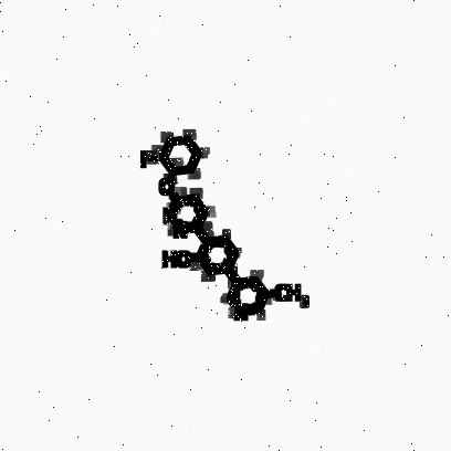 Cc1cncc(-c2ccc(-c3ccc(O[C@H]4CCCC[C@H]4F)nn3)c(O)c2)c1